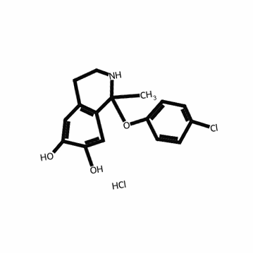 CC1(Oc2ccc(Cl)cc2)NCCc2cc(O)c(O)cc21.Cl